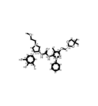 COCCN1C[C@@H](NC(=O)Nc2c(C)c(OC[C@@H]3OCC(C)(C)O3)nn2-c2ccccc2)[C@H](c2cc(F)c(F)c(F)c2)C1